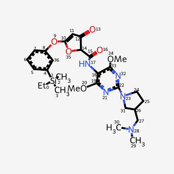 CC[Si](C)(C)c1cccc(OC2=CC(=O)C(C(=O)Nc3c(OC)nc(N4CCC(CN(C)C)C4)nc3OC)O2)c1